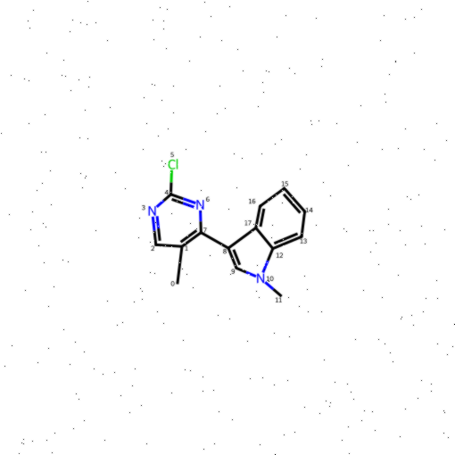 Cc1cnc(Cl)nc1-c1cn(C)c2ccccc12